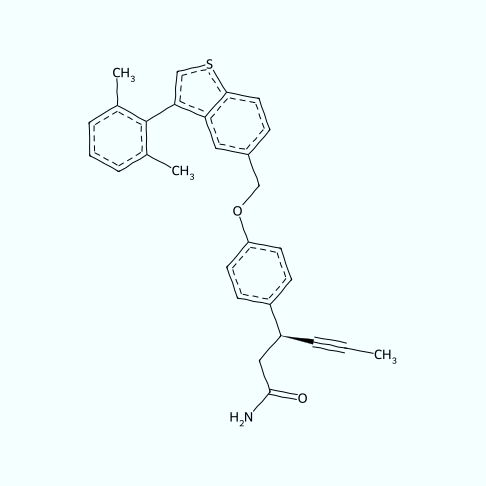 CC#C[C@@H](CC(N)=O)c1ccc(OCc2ccc3scc(-c4c(C)cccc4C)c3c2)cc1